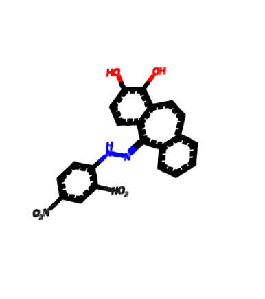 O=[N+]([O-])c1ccc(NN=c2c3ccccc3ccc3c(O)c(O)ccc23)c([N+](=O)[O-])c1